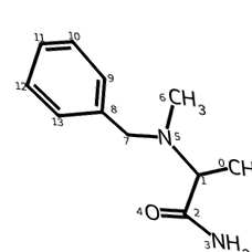 CC(C(N)=O)N(C)Cc1ccccc1